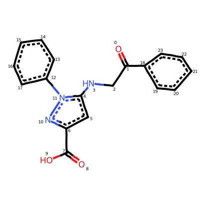 O=C(CNc1cc(C(=O)O)nn1-c1ccccc1)c1ccccc1